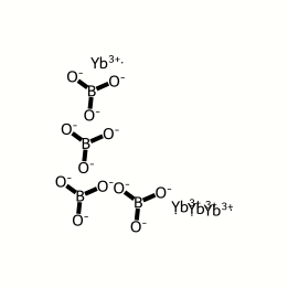 [O-]B([O-])[O-].[O-]B([O-])[O-].[O-]B([O-])[O-].[O-]B([O-])[O-].[Yb+3].[Yb+3].[Yb+3].[Yb+3]